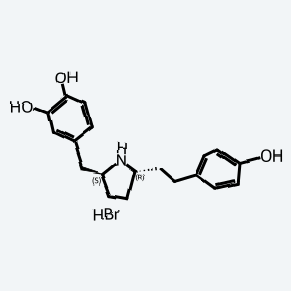 Br.Oc1ccc(CC[C@@H]2CC[C@@H](Cc3ccc(O)c(O)c3)N2)cc1